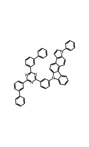 c1ccc(-c2cccc(-c3nc(-c4cccc(-c5ccccc5)c4)nc(-c4cccc(-n5c6ccccc6c6c7ccc8c(ccn8-c8ccccc8)c7ccc65)c4)n3)c2)cc1